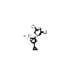 Cn1nc(C2CC2)cc1N1C=C(Cl)N=C(Cl)C1